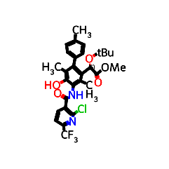 COC(=O)[C@@H](OC(C)(C)C)c1c(C)c(NC(=O)c2ccc(C(F)(F)F)nc2Cl)c(O)c(C)c1-c1ccc(C)cc1